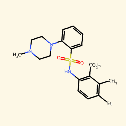 CCc1ccc(NS(=O)(=O)c2ccccc2N2CCN(C)CC2)c(C(=O)O)c1C